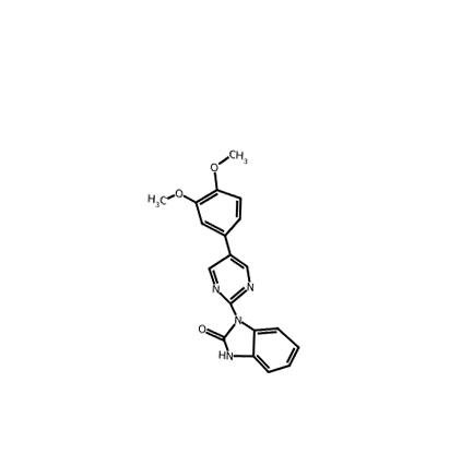 COc1ccc(-c2cnc(-n3c(=O)[nH]c4ccccc43)nc2)cc1OC